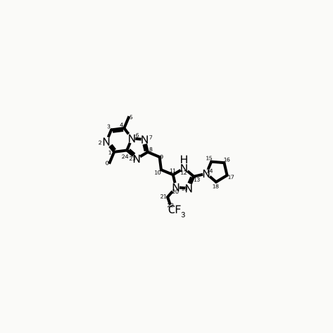 Cc1ncc(C)n2nc(CCC3NC(N4CCCC4)=NN3CC(F)(F)F)nc12